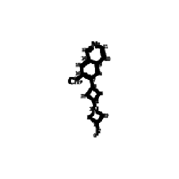 FC1CN(C2CC(c3cc4ccncc4cc3Cl)C2)C1